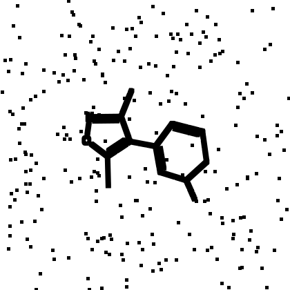 Cc1noc(C)c1C1=CC(C)CC=C1